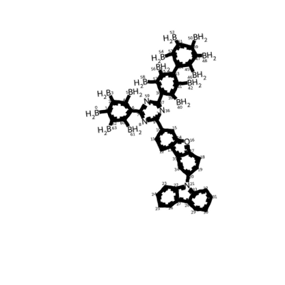 Bc1c(B)c(B)c(-c2nc(-c3ccc4c(c3)oc3ccc(-n5c6ccccc6c6ccccc65)cc34)nc(-c3c(B)c(B)c(-c4c(B)c(B)c(B)c(B)c4B)c(B)c3B)n2)c(B)c1B